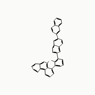 c1cc(-c2ccc3cc(-c4ccc5ccccc5c4)ccc3c2)c2c(c1)-c1cccc3c1c(cc1ccccc13)O2